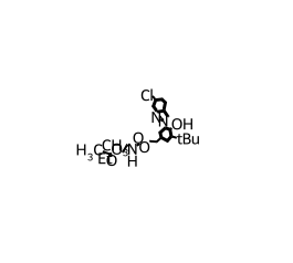 CCC(C)(C)C(=O)OCCNC(=O)OCCc1cc(-n2cc3ccc(Cl)cc3n2)c(O)c(C(C)(C)C)c1